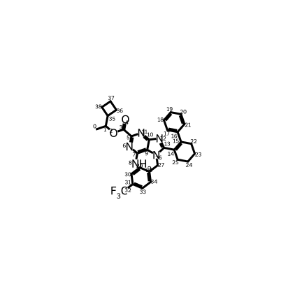 CC(OC(=O)c1nc(N)c2c(n1)nc(C1=C(c3ccccc3)CCCC1)n2Cc1ccc(C(F)(F)F)cc1)C1CCC1